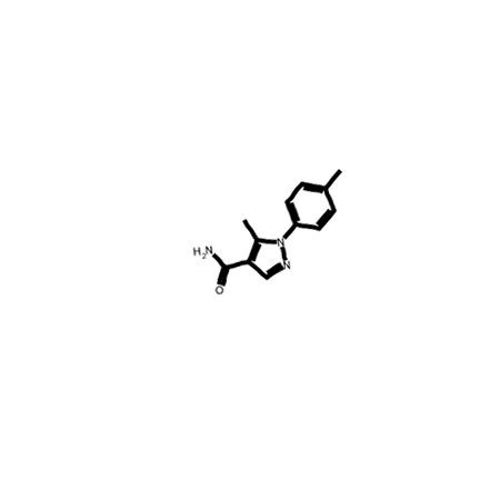 Cc1ccc(-n2ncc(C(N)=O)c2C)cc1